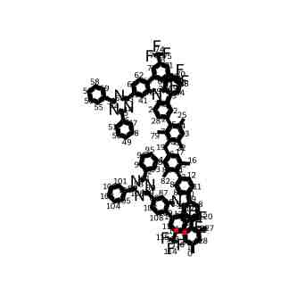 Cc1cc(C)c(-c2ccc3c4ccc(-c5c(C)cc(Cc6c(C)cc(C)c(-c7ccc8c(c7)c7ccccc7n8-c7cc(-c8nc(-c9ccccc9)nc(-c9ccccc9)n8)ccc7-c7cc(C(F)(F)F)cc(C(F)(F)F)c7)c6C)cc5C)cc4n(-c4cc(-c5nc(-c6ccccc6)nc(-c6ccccc6)n5)ccc4-c4cc(C(F)(F)F)cc(C(F)(F)F)c4)c3c2)c(C)c1